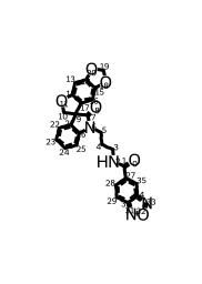 O=C(NCCCN1C(=O)C2(COc3cc4c(cc32)OCO4)c2ccccc21)c1ccc2nonc2c1